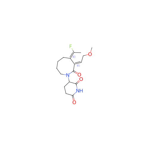 COC/C=C1/C(=O)N(C2CCC(=O)NC2=O)CCCC/C1=C(/C)F